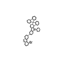 Brc1cccc2sc3ccc(-c4ccc5c(c4)c4ccc6c(c4n5-c4ccccc4)-c4ccccc4C64c5ccccc5-c5ccccc54)cc3c12